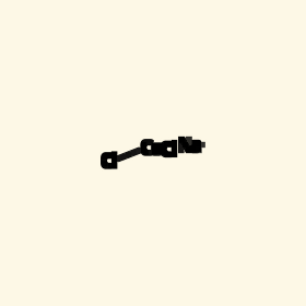 [Cl][Cu][Cl].[Na]